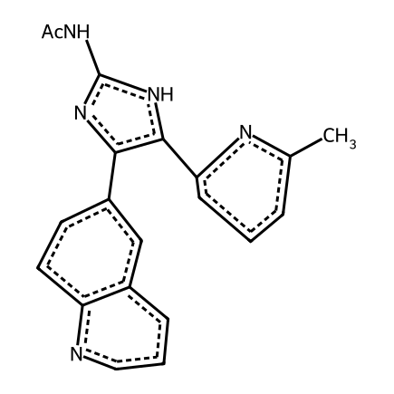 CC(=O)Nc1nc(-c2ccc3ncccc3c2)c(-c2cccc(C)n2)[nH]1